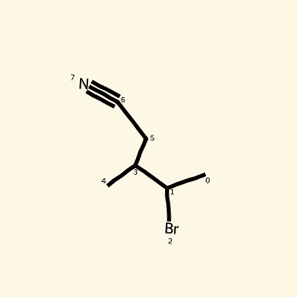 CC(Br)C(C)CC#N